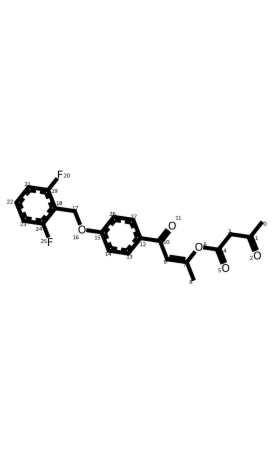 CC(=O)CC(=O)OC(C)=CC(=O)c1ccc(OCc2c(F)cccc2F)cc1